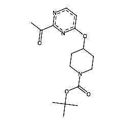 CC(=O)c1nccc(OC2CCN(C(=O)OC(C)(C)C)CC2)n1